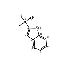 CCCC(C)(C)c1cc2ncccc2[nH]1